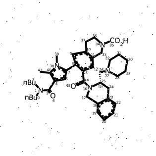 CCCCN(CCCC)C(=O)c1cc(-c2cc3c(cc2C(=O)N2Cc4ccccc4C[C@H]2CN2CCCCC2)CN(C(=O)O)CC3)n(C)c1C